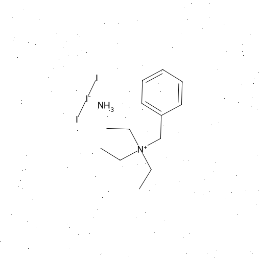 CC[N+](CC)(CC)Cc1ccccc1.I[I-]I.N